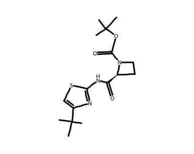 CC(C)(C)OC(=O)N1CC[C@H]1C(=O)Nc1nc(C(C)(C)C)cs1